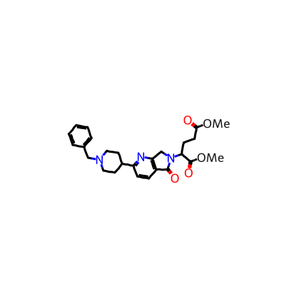 COC(=O)CCC(C(=O)OC)N1Cc2nc(C3CCN(Cc4ccccc4)CC3)ccc2C1=O